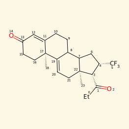 CCC(=O)[C@H]1[C@@H](C(F)(F)F)CC2C3CCC4=CC(=O)CC[C@]4(C)C3=CC[C@@]21C